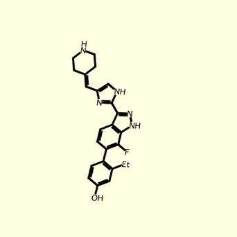 CCc1cc(O)ccc1-c1ccc2c(-c3nc(C=C4CCNCC4)c[nH]3)n[nH]c2c1F